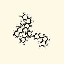 c1ccc(-c2nc(-c3ccc(-c4cccc5ccccc45)cc3)nc(-c3cc4ccc5ccccc5c4c4sc5cc6ccccc6cc5c34)n2)cc1